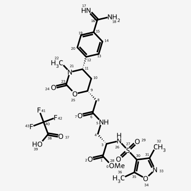 COC(=O)[C@H](CNC(=O)C[C@H]1C[C@@H](c2ccc(C(=N)N)cc2)N(C)C(=O)O1)NS(=O)(=O)c1c(C)noc1C.O=C(O)C(F)(F)F